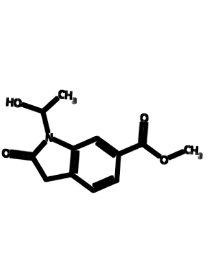 COC(=O)c1ccc2c(c1)N(C(C)O)C(=O)C2